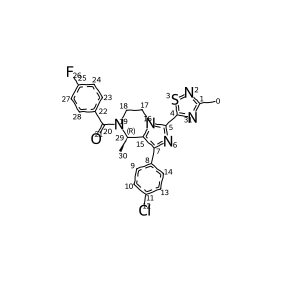 Cc1nsc(-c2nc(-c3ccc(Cl)cc3)c3n2CCN(C(=O)c2ccc(F)cc2)[C@@H]3C)n1